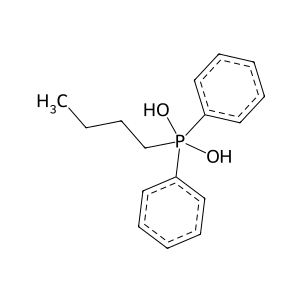 CCCCP(O)(O)(c1ccccc1)c1ccccc1